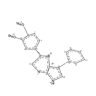 COc1ccc(-c2cnc3[nH]cc(-c4ccccc4)c3n2)cc1OC